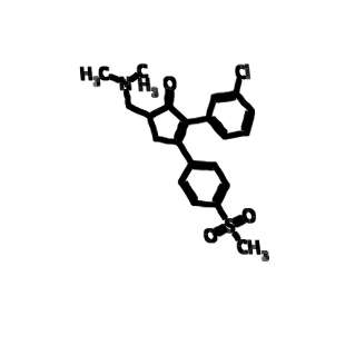 CN(C)CC1CC(c2ccc(S(C)(=O)=O)cc2)=C(c2cccc(Cl)c2)C1=O